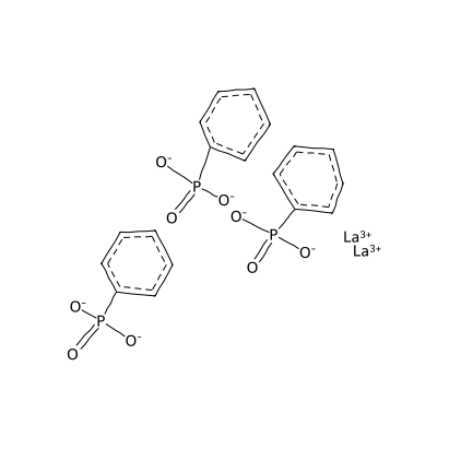 O=P([O-])([O-])c1ccccc1.O=P([O-])([O-])c1ccccc1.O=P([O-])([O-])c1ccccc1.[La+3].[La+3]